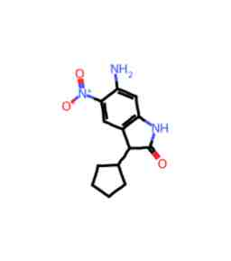 Nc1cc2c(cc1[N+](=O)[O-])C(C1CCCC1)C(=O)N2